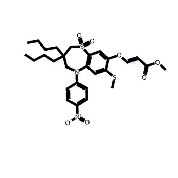 CCCCC1(CCCC)CN(c2ccc([N+](=O)[O-])cc2)c2cc(SC)c(O/C=C/C(=O)OC)cc2S(=O)(=O)C1